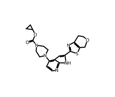 O=C(OC1CC1)N1CCN(c2ccnc3[nH]c(-c4nc5c(s4)COCC5)cc23)CC1